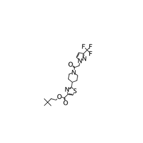 CC(C)(C)CCOC(=O)c1csc(C2CCN(C(=O)Cn3ccc(C(F)(F)F)n3)CC2)n1